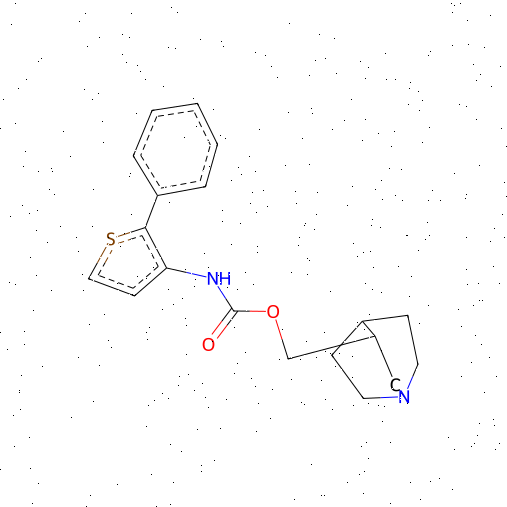 O=C(Nc1ccsc1-c1ccccc1)OCC1CN2CCC1CC2